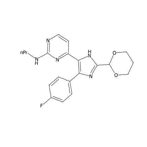 CCCNc1nccc(-c2[nH]c(C3OCCCO3)nc2-c2ccc(F)cc2)n1